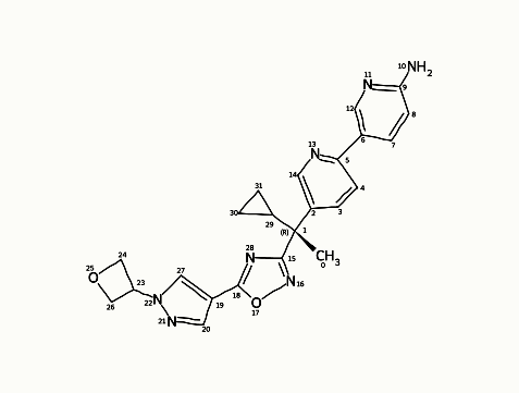 C[C@@](c1ccc(-c2ccc(N)nc2)nc1)(c1noc(-c2cnn(C3COC3)c2)n1)C1CC1